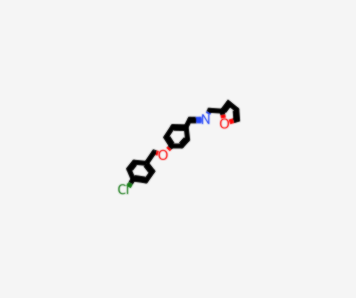 Clc1ccc(COc2ccc(C=NCc3ccco3)cc2)cc1